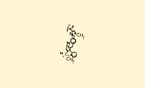 Cc1cc(C(F)(F)F)nn1-c1ccc(Cc2[nH]ccc2-c2ccccc2C(C)C)cc1